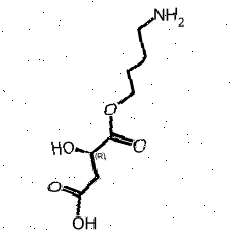 NCCCCOC(=O)[C@H](O)CC(=O)O